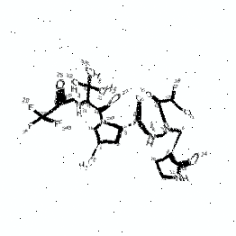 C[C@@H]1C[C@@H](C(=O)NN(C[C@@H]2CCNC2=O)C(=O)C(F)Cl)N(C(=O)C(NC(=O)C(F)(F)F)C(C)(C)C)C1